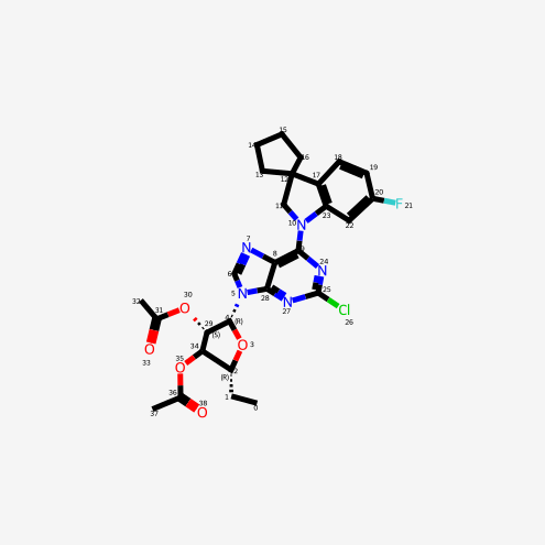 CC[C@H]1O[C@@H](n2cnc3c(N4CC5(CCCC5)c5ccc(F)cc54)nc(Cl)nc32)[C@@H](OC(C)=O)C1OC(C)=O